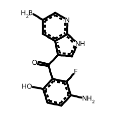 Bc1cnc2[nH]cc(C(=O)c3c(O)ccc(N)c3F)c2c1